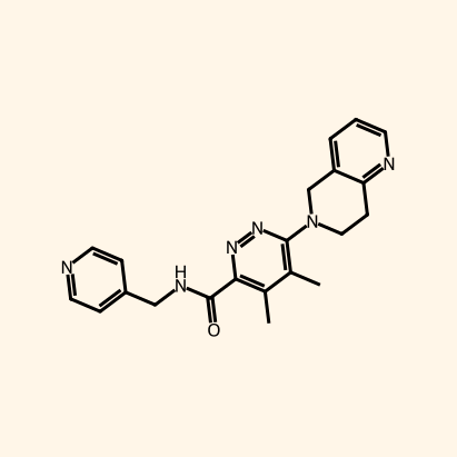 Cc1c(C(=O)NCc2ccncc2)nnc(N2CCc3ncccc3C2)c1C